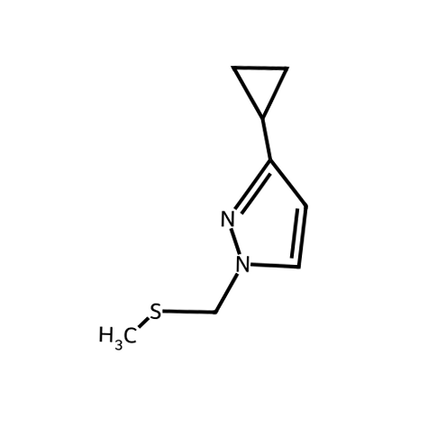 CSCn1ccc(C2CC2)n1